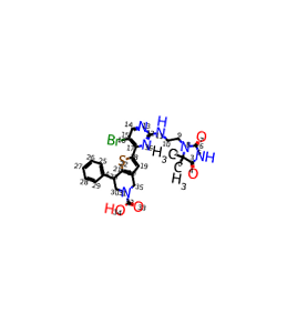 CC1(C)C(=O)NC(=O)N1CCNc1ncc(Br)c(-c2cc3c(s2)C(c2ccccc2)CN(C(=O)O)C3)n1